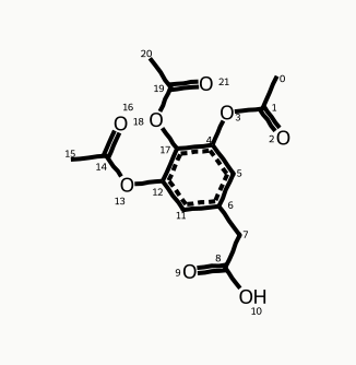 CC(=O)Oc1cc(CC(=O)O)cc(OC(C)=O)c1OC(C)=O